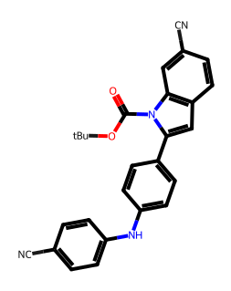 CC(C)(C)OC(=O)n1c(-c2ccc(Nc3ccc(C#N)cc3)cc2)cc2ccc(C#N)cc21